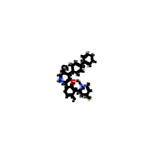 Cc1ccc2c(oc3c(-c4ccc(-c5ccccc5)cc4)c(C#N)cnc32)c1-c1cc(F)cc[n+]1C